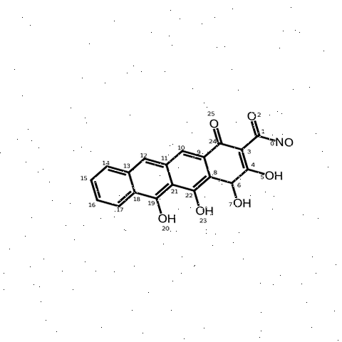 O=NC(=O)C1=C(O)C(O)c2c(cc3cc4ccccc4c(O)c3c2O)C1=O